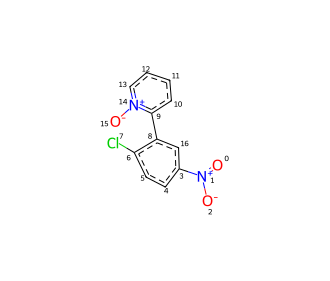 O=[N+]([O-])c1ccc(Cl)c(-c2cccc[n+]2[O-])c1